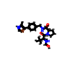 Cc1ncsc1-c1ccc(CNC(=O)C2CCCN2C(=O)C(NC=O)C(C)(C)C)cc1